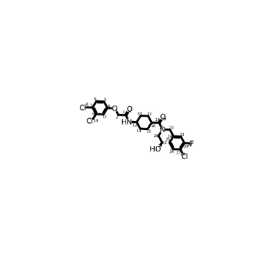 O=C(COc1ccc(Cl)c(Cl)c1)NC1CCC(C(=O)N(CCO)Cc2ccc(Cl)c(F)c2)CC1